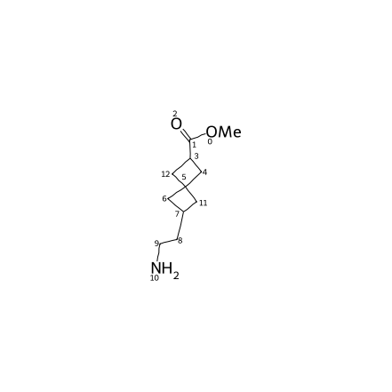 COC(=O)C1CC2(CC(CCN)C2)C1